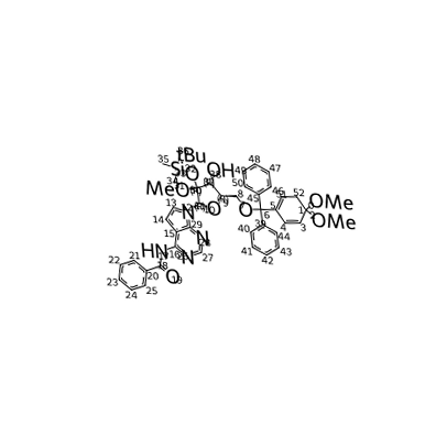 COC1(OC)C=CC(C(OC[C@H]2O[C@@H](n3ccc4c(NC(=O)c5ccccc5)ncnc43)[C@](OC)(O[Si](C)(C)C(C)(C)C)[C@@H]2O)(c2ccccc2)c2ccccc2)=CC1